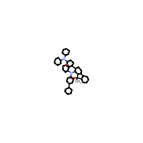 CC1(C)c2ccccc2-c2ccc(-c3ccc(N(c4ccccc4)c4ccccc4)cc3)c(N(c3ccccc3)c3ccc(-c4ccccc4)cc3)c21